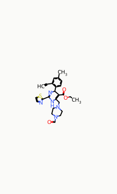 C#Cc1cc(C)ccc1C1N=C(c2nccs2)NC(CN2CCN(C=O)CC2)=C1C(=O)OCC